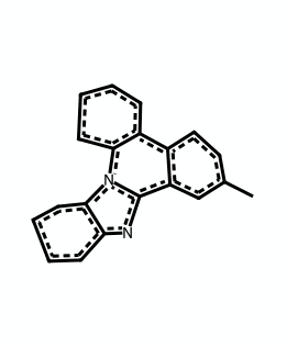 Cc1ccc2c3ccccc3n3c4ccccc4nc3c2c1